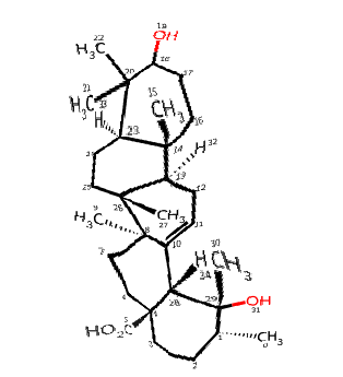 C[C@@H]1CC[C@]2(C(=O)O)CC[C@]3(C)C(=CC[C@@H]4[C@@]5(C)CCC(O)C(C)(C)[C@@H]5CC[C@]43C)[C@@H]2[C@]1(C)O